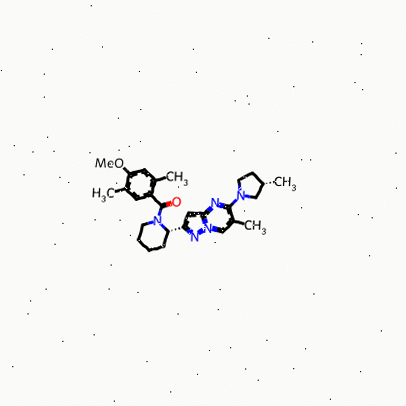 COc1cc(C)c(C(=O)N2CCCC[C@H]2c2cc3nc(N4CC[C@H](C)C4)c(C)cn3n2)cc1C